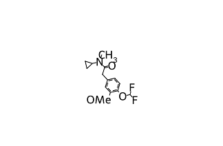 COc1cc(CC(=O)N(C)C2CC2)ccc1OC(F)F